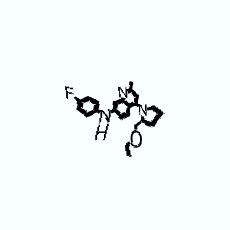 CCOC[C@@H]1CCCN1c1cc(C)nc2cc(Nc3ccc(F)cc3)ccc12